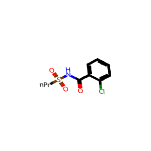 CCCS(=O)(=O)NC(=O)c1ccccc1Cl